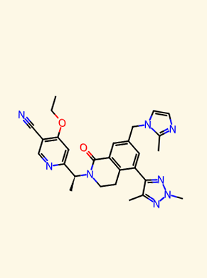 CCOc1cc([C@H](C)N2CCc3c(cc(Cn4ccnc4C)cc3-c3nn(C)nc3C)C2=O)ncc1C#N